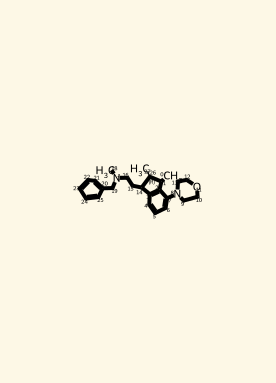 CC1c2c(cccc2N2CCOCC2)C(CCN(C)Cc2ccccc2)[C@@H]1C